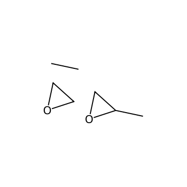 C1CO1.CC.CC1CO1